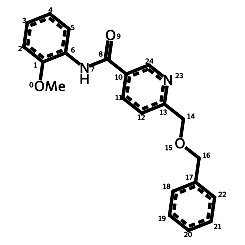 COc1ccccc1NC(=O)c1ccc(COCc2ccccc2)nc1